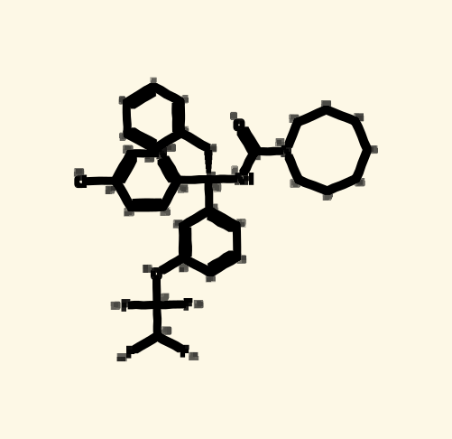 O=C(N[C@@](Cc1ccccc1)(c1cccc(OC(F)(F)C(F)F)c1)c1ccc(Cl)cn1)N1CCCCCCC1